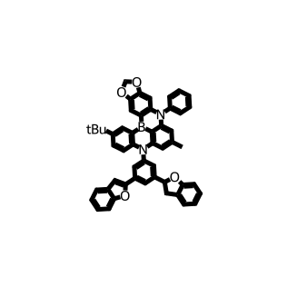 Cc1cc2c3c(c1)N(c1ccccc1)c1cc4c(cc1B3c1cc(C(C)(C)C)ccc1N2c1cc(-c2cc3ccccc3o2)cc(C2Cc3ccccc3O2)c1)OCO4